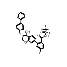 O=C(NS(=O)(=O)C(F)(F)F)c1ccc(F)cc1-c1ccc2c(c1)OC[C@H](Cc1ccc(-c3ccccc3)cc1)[C@H]2O